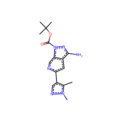 Cc1c(-c2cc3c(N)nn(C(=O)OC(C)(C)C)c3cn2)cnn1C